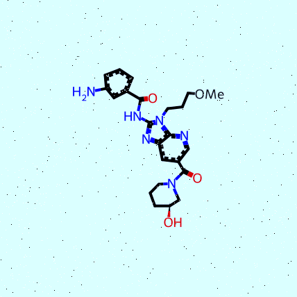 COCCCn1c(NC(=O)c2cccc(N)c2)nc2cc(C(=O)N3CCC[C@H](O)C3)cnc21